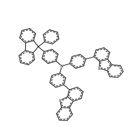 c1ccc(C2(c3ccc(N(c4ccc(-c5cccc6c5sc5ccccc56)cc4)c4cccc(-c5cccc6c5sc5ccccc56)c4)cc3)c3ccccc3-c3ccccc32)cc1